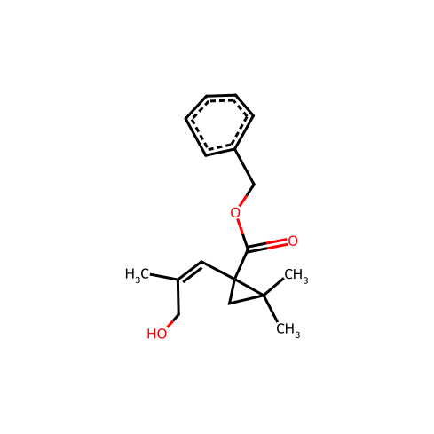 CC(=CC1(C(=O)OCc2ccccc2)CC1(C)C)CO